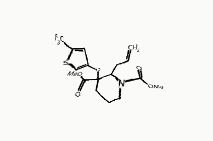 C=CCC1N(C(=O)OC)CCCC1(Oc1csc(C(F)(F)F)c1)C(=O)OC